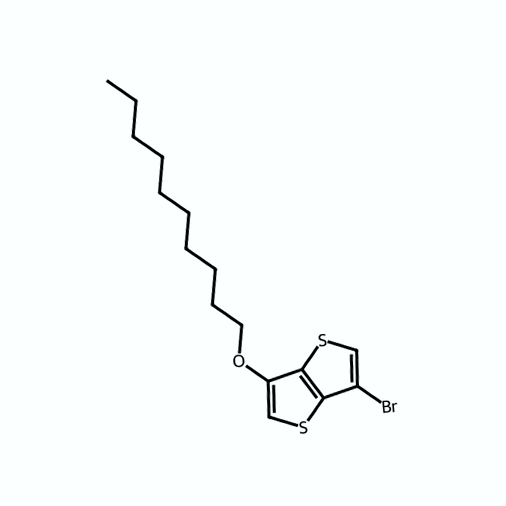 CCCCCCCCCCOc1csc2c(Br)csc12